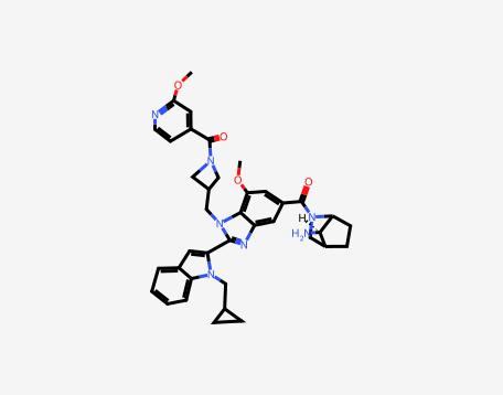 COc1cc(C(=O)N2CC(Cn3c(-c4cc5ccccc5n4CC4CC4)nc4cc(C(=O)N5CC6CCC5[C@@H]6N)cc(OC)c43)C2)ccn1